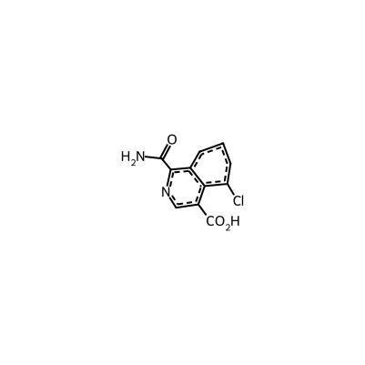 NC(=O)c1ncc(C(=O)O)c2c(Cl)cccc12